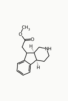 COC(=O)CC1c2ccccc2[C@@H]2CCNC[C@H]12